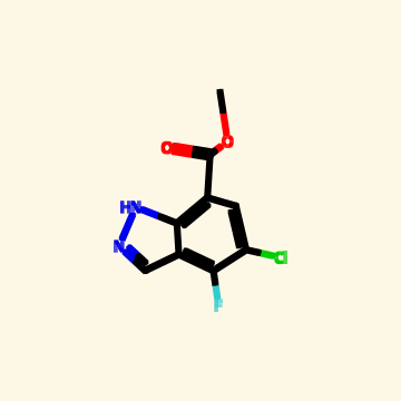 COC(=O)c1cc(Cl)c(F)c2cn[nH]c12